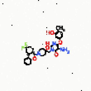 Cc1ccc(Oc2ncn(CC3(O)CCN(C(=O)[C@@H]4CCC(F)(F)C[C@H]4c4ccccc4)CC3)c(=O)c2N)cc1O